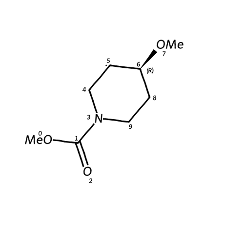 COC(=O)N1C[CH][C@@H](OC)CC1